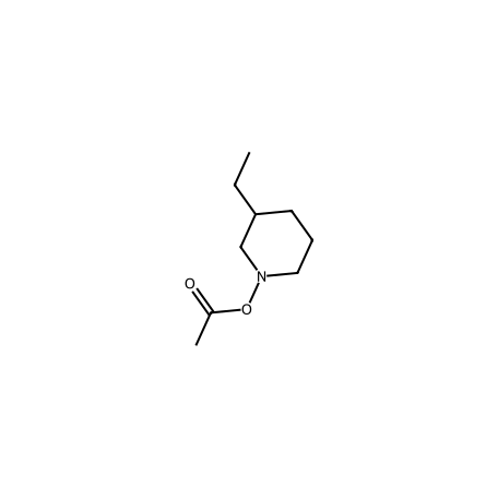 CCC1CCCN(OC(C)=O)C1